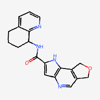 O=C(NC1CCCc2cccnc21)c1cc2ncc3c(c2[nH]1)COC3